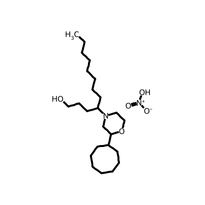 CCCCCCCCC(CCCO)N1CCOC(C2CCCCCCC2)C1.O=[N+]([O-])O